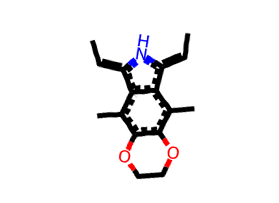 C/C=c1\[nH]/c(=C\C)c2c(C)c3c(c(C)c12)OCCO3